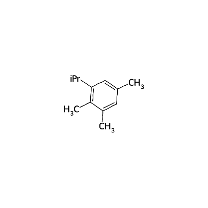 [CH2]C(C)c1cc(C)cc(C)c1C